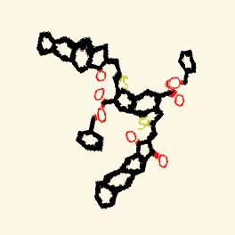 O=C1/C(=C\c2cc3c(C(=O)OCc4ccccc4)cc4c(cc(C(=O)OCc5ccccc5)c5cc(C=C6C(=O)c7cc8cc9ccccc9cc8cc7C6=O)sc54)c3s2)Cc2cc3cc4ccccc4cc3cc21